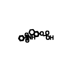 O=C(O)COc1ccc2c(c1)CCCC2NS(=O)(=O)c1ccccc1